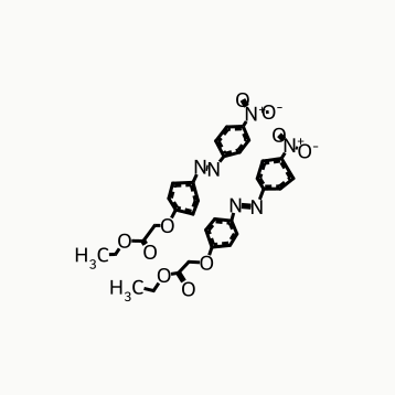 CCOC(=O)COc1ccc(N=Nc2ccc([N+](=O)[O-])cc2)cc1.CCOC(=O)COc1ccc(N=Nc2ccc([N+](=O)[O-])cc2)cc1